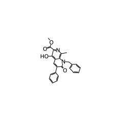 COC(=O)c1nc(C)c2c(cc(-c3ccccc3)c(=O)n2Cc2ccccc2)c1O